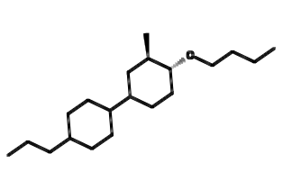 CCCCO[C@@H]1CCC(C2CCC(CCC)CC2)C[C@H]1C